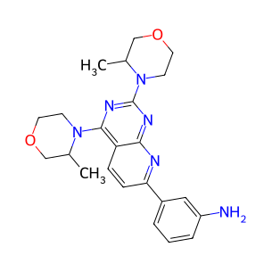 CC1COCCN1c1nc(N2CCOCC2C)c2ccc(-c3cccc(N)c3)nc2n1